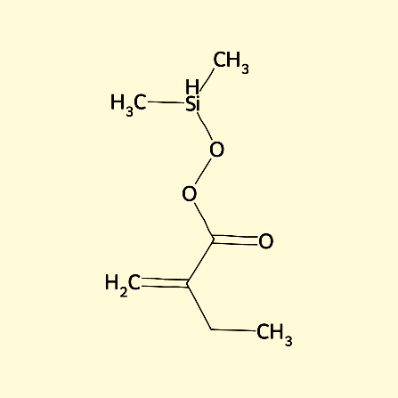 C=C(CC)C(=O)OO[SiH](C)C